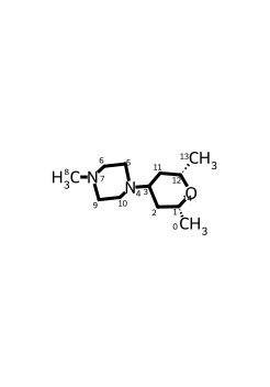 C[C@@H]1CC(N2CCN(C)CC2)C[C@H](C)O1